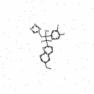 OC(Cn1cnnn1)(c1ccc(F)c(F)c1)C(F)(F)c1ccc2cc(CI)ccc2n1